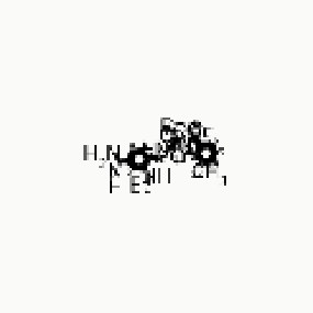 CCNc1cc(C(=N)N)ccc1CNC(=O)[C@](OCC)(OC(C)=O)N1Cc2c(C)cccc2C1=O